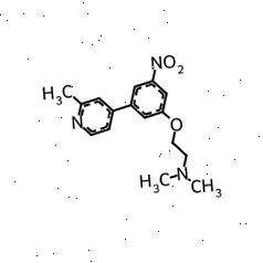 Cc1cc(-c2cc(OCCN(C)C)cc([N+](=O)[O-])c2)ccn1